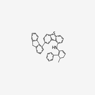 CC1CC=CC(Nc2cccc3sc4ccc(-c5cccc6c5-c5ccccc5C6)cc4c23)=C1c1ccccc1